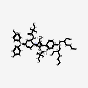 CCCCC(CC)CN(CC(CC)CCCC)c1ccc(C2=C(O)/C(=C3/C=CC(=[N+](c4ccc(C)cc4)c4ccc(C)cc4)C=C3NC(=O)C(C)(C)CC)C2=O)c(NC(=O)C(C)(C)CC)c1